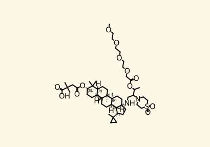 COCCOCCOCCOCC(=O)OC(C)C(CN[C@]12CC[C@@H](C3(C)CC3)[C@@H]1[C@H]1CC[C@@H]3[C@@]4(C)CC[C@H](OC(=O)CC(C)(C)C(=O)O)C(C)(C)[C@@H]4CC[C@@]3(C)[C@]1(C)CC2)N1CCS(=O)(=O)CC1